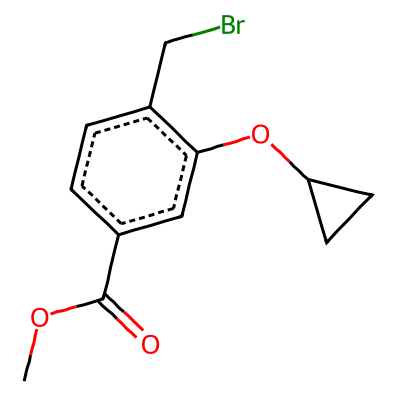 COC(=O)c1ccc(CBr)c(OC2CC2)c1